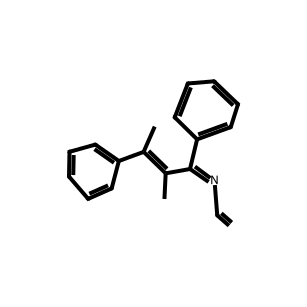 C=C/N=C(\C(C)=C(/C)c1ccccc1)c1ccccc1